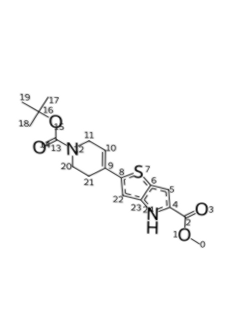 COC(=O)c1cc2sc(C3=CCN(C(=O)OC(C)(C)C)CC3)cc2[nH]1